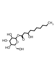 CCCCCCCC(O)CC(=O)OC1O[C@H](CO)[C@@H](O)[C@H](O)[C@H]1O